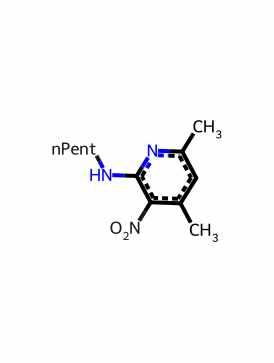 CCCCCNc1nc(C)cc(C)c1[N+](=O)[O-]